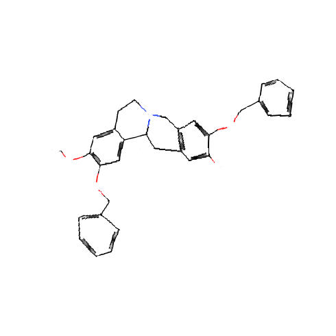 COc1cc2c(cc1OCc1ccccc1)[C@@H]1Cc3cc(O)c(OCc4ccccc4)cc3CN1CC2